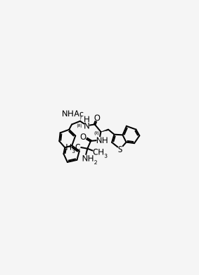 CC(=O)N[C@@H](Cc1ccc2ccccc2c1)NC(=O)[C@@H](Cc1csc2ccccc12)NC(=O)C(C)(C)N